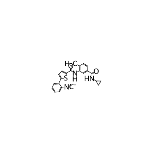 [C-]#[N+]c1ccccc1-c1ccc(C(=O)Nc2cc(C(=O)NC3CC3)ccc2C)s1